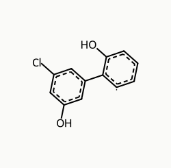 Oc1cc(Cl)cc(-c2[c]cccc2O)c1